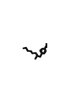 CCCCCC[C](C)Cc1ccc(I)cc1